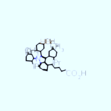 Br.CC1CCC(C(C)C)C(c2c(C3CC(C)CCC3C(C)C)n(C3CC(C)CCC3C(C)C)c3cccc(CCCCCC(=O)O)c23)C1